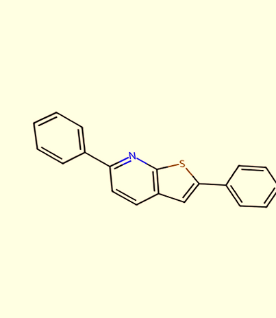 c1ccc(-c2ccc3cc(-c4ccccc4)sc3n2)cc1